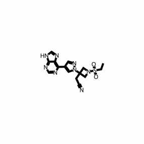 CCS(=O)(=O)N1CC(CC#N)(n2cc(-c3ncnc4[nH]cnc34)cn2)C1